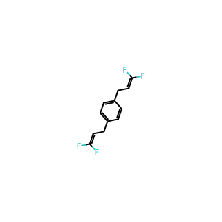 FC(F)=CCc1ccc(CC=C(F)F)cc1